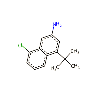 CC(C)(C)c1cc(N)cc2c(Cl)cccc12